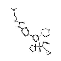 C=CC(C1CC1)S(=O)(=O)C1(c2cc(N3CCOCC3)nc(-c3ccc(NC(=O)NCCN(C)C)cc3)n2)CCCC1